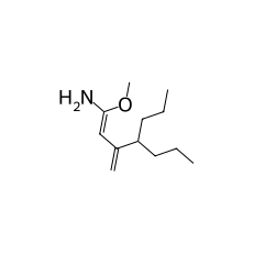 C=C(/C=C(/N)OC)C(CCC)CCC